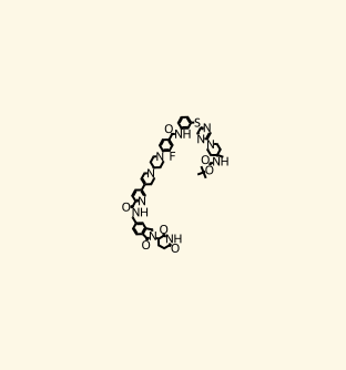 CC1(NC(=O)OC(C)(C)C)CCN(c2cnc(Sc3cccc(NC(=O)c4ccc(N5CCC(N6CC=C(c7ccc(C(=O)NCc8ccc9c(c8)CN(C8CCC(=O)NC8=O)C9=O)nc7)CC6)CC5)c(F)c4)c3)cn2)CC1